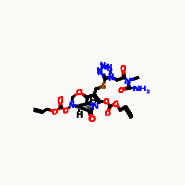 C=CCOC(=O)OC1=C(CSc2nnnn2CC(=O)N(C)C(N)=O)C2OCN(OC(=O)OCC=C)[C@@H]3C(=O)N1[C@H]23